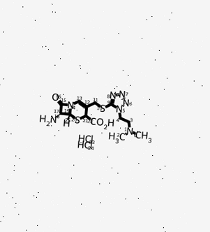 CN(C)CCn1nnnc1SCC1=CN2C(=O)[C@@H](N)[C@H]2SC1C(=O)O.Cl.Cl